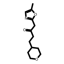 Cc1cnc(CC(=O)CCC2CCOCC2)o1